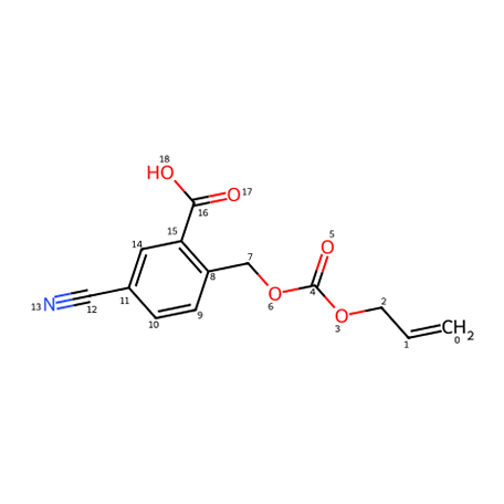 C=CCOC(=O)OCc1ccc(C#N)cc1C(=O)O